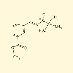 COC(=O)c1cccc(C=N[S@+]([O-])C(C)(C)C)c1